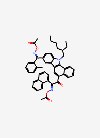 CCCCC(CC)Cn1c2ccc(/C(=N\OC(C)=O)c3ccccc3C)cc2c2cc(C(=O)/C(=N/OC(C)=O)c3cccc4ccccc34)c3ccccc3c21